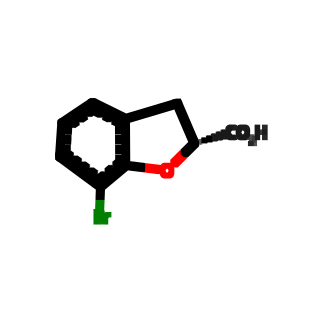 O=C(O)[C@H]1Cc2cccc(Br)c2O1